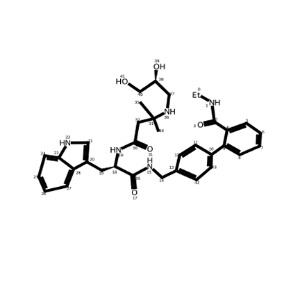 CCNC(=O)c1ccccc1-c1ccc(CNC(=O)[C@@H](Cc2c[nH]c3ccccc23)NC(=O)CC(C)(C)NC[C@H](O)CO)cc1